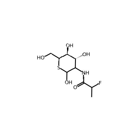 CC(F)C(=O)NC1C(O)SC(CO)[C@@H](O)[C@@H]1O